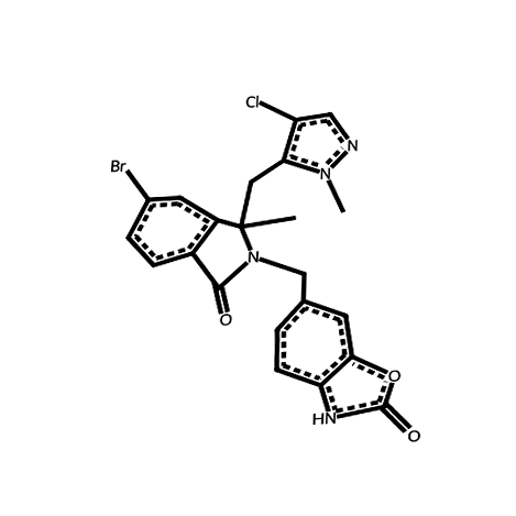 Cn1ncc(Cl)c1CC1(C)c2cc(Br)ccc2C(=O)N1Cc1ccc2[nH]c(=O)oc2c1